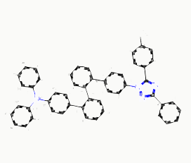 CC(C)(C)c1ccc(-c2nc(-c3ccccc3)nn2-c2ccc(-c3ccccc3-c3ccccc3-c3ccc(N(c4ccccc4)c4ccccc4)cc3)cc2)cc1